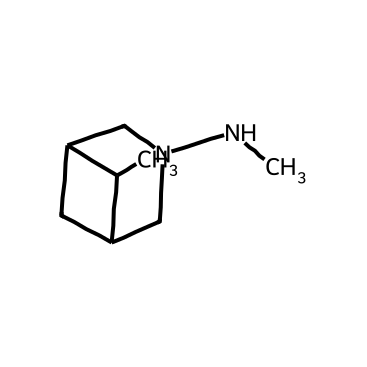 CNN1CC2CC(C1)C2C